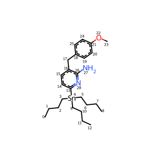 CCC[CH2][Sn]([CH2]CCC)([CH2]CCC)[c]1ccc(Cc2ccc(OC)cc2)c(N)n1